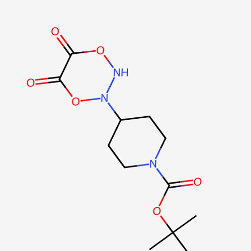 CC(C)(C)OC(=O)N1CCC(N2NOC(=O)C(=O)O2)CC1